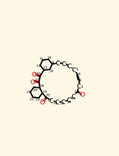 O=C1CC=CCCCCC2CCCC(C2)C(=O)C(=O)C2CCCCC2C(=O)CCCCC1